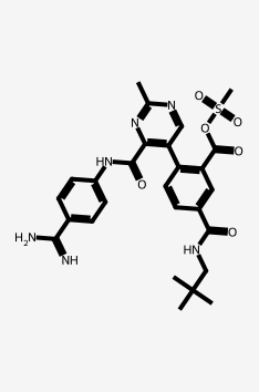 Cc1ncc(-c2ccc(C(=O)NCC(C)(C)C)cc2C(=O)OS(C)(=O)=O)c(C(=O)Nc2ccc(C(=N)N)cc2)n1